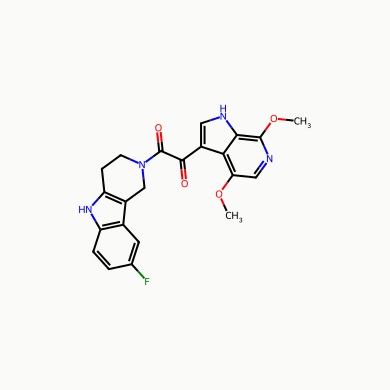 COc1ncc(OC)c2c(C(=O)C(=O)N3CCc4[nH]c5ccc(F)cc5c4C3)c[nH]c12